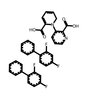 Fc1ccc(-c2ccccc2)c(F)c1.Fc1ccc(-c2ccccc2)c(F)c1.O=C(O)C1=CC=CCN1c1cccnc1C(=O)O